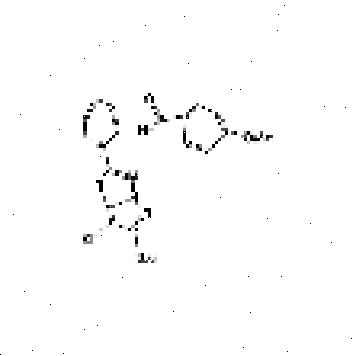 COc1ccc(C(=O)Nc2ccccc2-c2nn3nc(C(C)(C)C)c(Cl)c3[nH]2)cc1